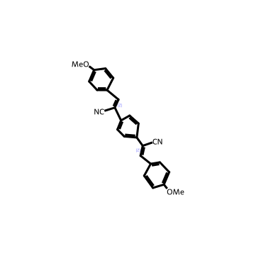 COc1ccc(/C=C(\C#N)c2ccc(/C(C#N)=C/c3ccc(OC)cc3)cc2)cc1